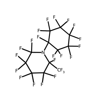 FC(F)(F)C1(F)N(C2(F)C(F)(F)C(F)(F)C(F)(F)C(F)(F)C2(F)F)C(F)(F)C(F)(F)C(F)(F)C1(F)F